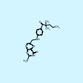 CCCC(C)(C)C(=O)c1ccc(NCc2cnc3nc(N)[nH]c(=O)c3n2)cc1